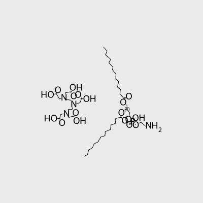 CCCCCCCCCCCCCC(=O)OC[C@H](COP(=O)(O)OCCN)OC(=O)CCCCCCCCCCCCC.O=C(O)CN(CCN(CC(=O)O)CC(=O)O)CCN(CC(=O)O)CC(=O)O